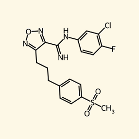 CS(=O)(=O)c1ccc(CCCc2nonc2C(=N)Nc2ccc(F)c(Cl)c2)cc1